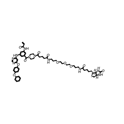 C=CC(=O)Nc1cc(Nc2cc(Oc3ccc(Oc4ccccc4)cc3)ncn2)cc(C(=O)N2CCN(C(=O)CCCC(=O)NCCCOCCOCCOCCCNC(=O)CCCC[C@@H]3SC[C@@H]4NC(=O)N[C@@H]43)CC2)c1